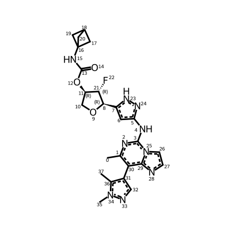 Cc1nc(Nc2cc([C@H]3OC[C@@H](OC(=O)NC45CC(C4)C5)[C@@H]3F)[nH]n2)n2ccnc2c1-c1cnn(C)c1C